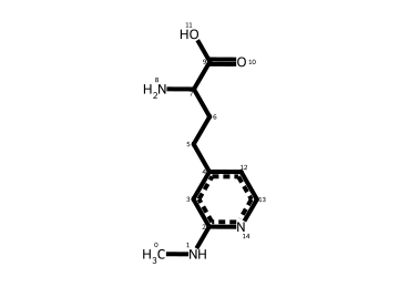 CNc1cc(CCC(N)C(=O)O)ccn1